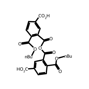 CCCCOC(=O)c1ccc(C(=O)O)cc1C(=O)OC(=O)c1cc(C(=O)O)ccc1C(=O)OCCCC